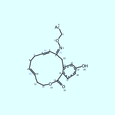 CC(=O)CO/N=C1\C=C\CC/C=C/CCOC(=O)c2ccc(O)cc2C1